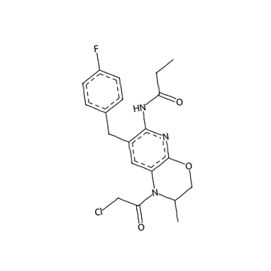 CCC(=O)Nc1nc2c(cc1Cc1ccc(F)cc1)N(C(=O)CCl)C(C)CO2